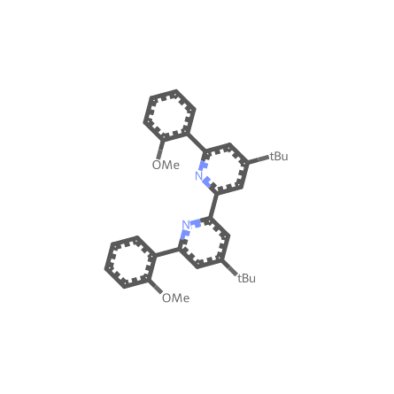 COc1ccccc1-c1cc(C(C)(C)C)cc(-c2cc(C(C)(C)C)cc(-c3ccccc3OC)n2)n1